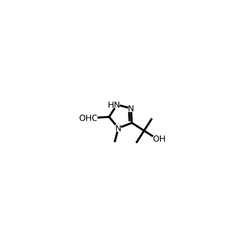 CN1C(C(C)(C)O)=NNC1C=O